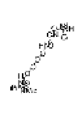 CNC(=O)[C@@H](NC(=O)CCOCCOCCOCCOCCNC(=O)CCC(=O)N1Cc2ccccc2-c2[nH]nnc2-c2ccccc21)C(C)C